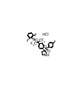 Cl.O=S(=O)(c1ccc(F)cc1)[C@@]1(c2ccc(C(OCc3c(F)cccc3F)(C(F)(F)F)C(F)(F)F)cc2)CCNC1